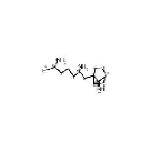 CCC(N)CCCC(N)CC12CCC(CC1)C2=N